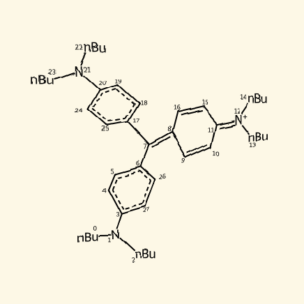 CCCCN(CCCC)c1ccc(C(=C2C=CC(=[N+](CCCC)CCCC)C=C2)c2ccc(N(CCCC)CCCC)cc2)cc1